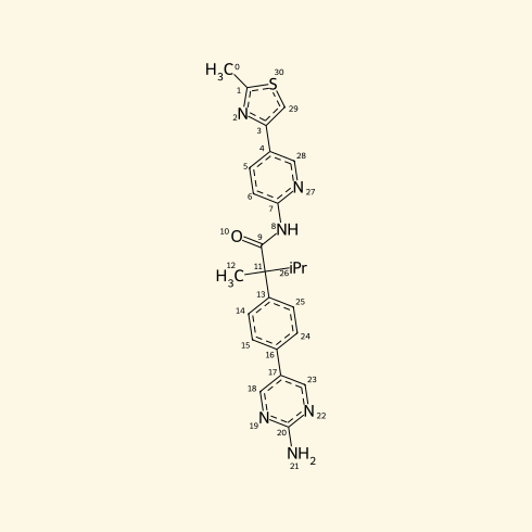 Cc1nc(-c2ccc(NC(=O)C(C)(c3ccc(-c4cnc(N)nc4)cc3)C(C)C)nc2)cs1